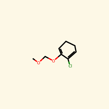 COCOC1=CCCC=C1Cl